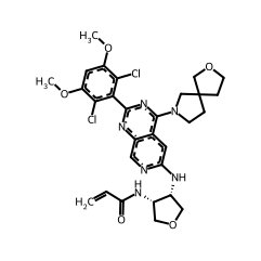 C=CC(=O)N[C@H]1COC[C@H]1Nc1cc2c(N3CCC4(CCOC4)C3)nc(-c3c(Cl)c(OC)cc(OC)c3Cl)nc2cn1